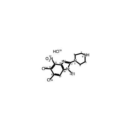 CCn1c(N2CCNCC2)nc2c([N+](=O)[O-])c(Cl)c(Cl)cc21.Cl